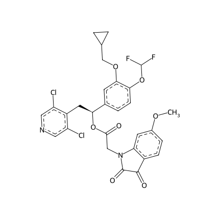 COc1ccc2c(c1)N(CC(=O)O[C@@H](Cc1c(Cl)cncc1Cl)c1ccc(OC(F)F)c(OCC3CC3)c1)C(=O)C2=O